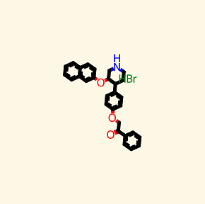 Br.O=C(COc1ccc(C2CCNCC2Oc2ccc3ccccc3c2)cc1)c1ccccc1